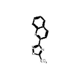 ClC(Cl)(Cl)c1nc(-c2ccc3ccccc3n2)no1